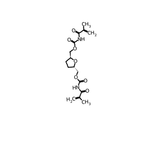 C=C(C)C(=O)NC(=O)OC[C@@H]1CC[C@@H](COC(=O)NC(=O)C(=C)C)O1